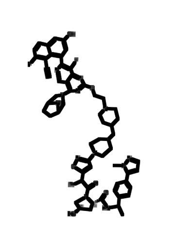 C#Cc1c(F)ccc2cc(O)cc(-c3ncc4c(N5CC6CCC(C5)N6)nc(OCCN5CCC(CC6CCN(c7cc(C(C(=O)N8C[C@H](O)C[C@H]8C(=O)NC(C)c8ccc(-c9ccnn9C)cc8)C(C)C)on7)CC6)CC5)nc4c3F)c12